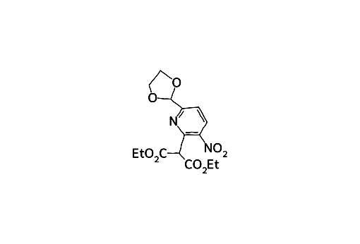 CCOC(=O)C(C(=O)OCC)c1nc(C2OCCO2)ccc1[N+](=O)[O-]